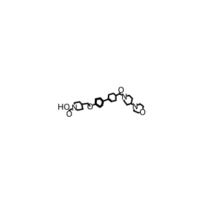 O=C(O)N1CCC(COc2ccc(C3=CCC(C(=O)N4CCC(N5CCOCC5)CC4)CC3)cc2)CC1